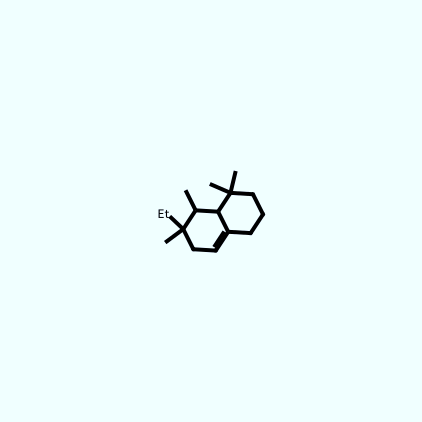 CCC1(C)CC=C2CCCC(C)(C)C2C1C